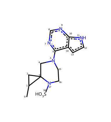 CC1CC12CN(c1ncnc3[nH]ccc13)CCN2S(=O)(=O)O